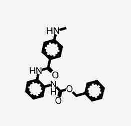 CNc1ccc(C(=O)Nc2ccccc2NC(=O)OCc2ccccc2)cc1